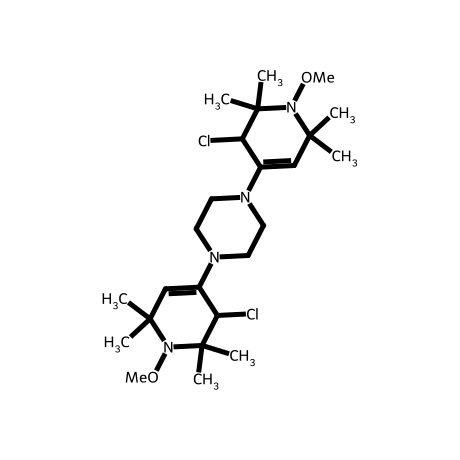 CON1C(C)(C)C=C(N2CCN(C3=CC(C)(C)N(OC)C(C)(C)C3Cl)CC2)C(Cl)C1(C)C